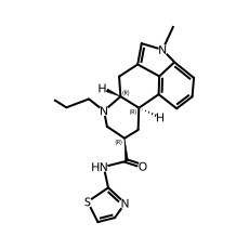 CCCN1C[C@H](C(=O)Nc2nccs2)C[C@@H]2c3cccc4c3c(cn4C)C[C@H]21